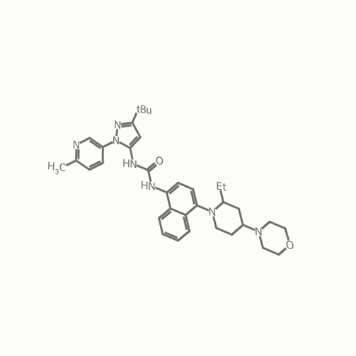 CCC1CC(N2CCOCC2)CCN1c1ccc(NC(=O)Nc2cc(C(C)(C)C)nn2-c2ccc(C)nc2)c2ccccc12